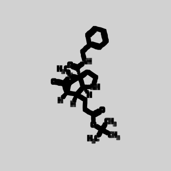 CN1C(=O)[C@@H]2CC3CN[C@@H]([C@@H]2CCC(=O)OC(C)(C)C)[C@]31C(=O)NCc1ccccc1